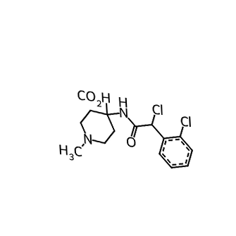 CN1CCC(NC(=O)C(Cl)c2ccccc2Cl)(C(=O)O)CC1